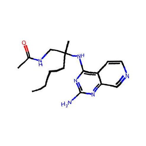 CCCCC(C)(CNC(C)=O)Nc1nc(N)nc2cnccc12